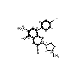 N[C@@H]1CCN(c2nc3c(cc2F)c(=O)c(C(=O)O)cn3-c2ccc(F)cc2)C1